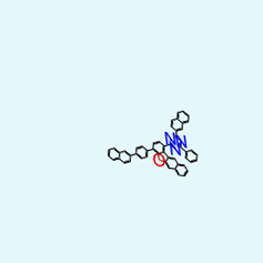 c1ccc(-c2nc(-c3ccc4ccccc4c3)nc(-c3ccc(-c4ccc(-c5ccc6ccccc6c5)cc4)c4oc5cc6ccccc6cc5c34)n2)cc1